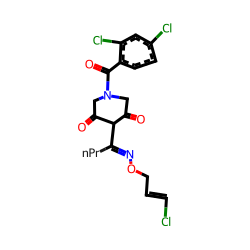 CCCC(=NOC/C=C/Cl)C1C(=O)CN(C(=O)c2ccc(Cl)cc2Cl)CC1=O